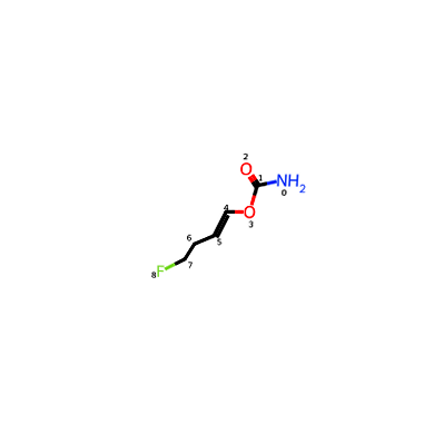 NC(=O)OC=CCCF